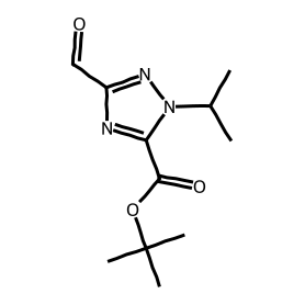 CC(C)n1nc(C=O)nc1C(=O)OC(C)(C)C